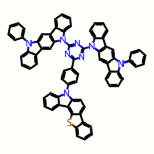 c1ccc(-n2c3ccccc3c3cc4c(cc32)c2ccccc2n4-c2nc(-c3ccc(-n4c5ccccc5c5c6sc7ccccc7c6ccc54)cc3)nc(-n3c4ccccc4c4cc5c(cc43)c3ccccc3n5-c3ccccc3)n2)cc1